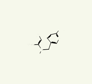 CNC(=C[N+](=O)[O-])N(C)Cc1ccc(C)nc1